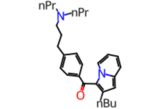 CCCCc1cc2ccccn2c1C(=O)c1ccc(CCCN(CCC)CCC)cc1